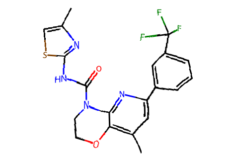 Cc1csc(NC(=O)N2CCOc3c(C)cc(-c4cccc(C(F)(F)F)c4)nc32)n1